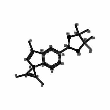 CC1=C[N+]2(C(C)=C2C)c2ncc(B3OC(C)(C)C(C)(C)O3)cc21